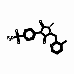 Cc1cccnc1CN1C(=O)N(c2ccc(S(=O)(=O)C(F)(F)F)cc2)C(=O)[C@@H]1C